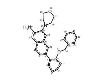 Nc1nc2ccc(-c3ccccc3OCc3ccccc3)cc2cc1N1CCOCC1